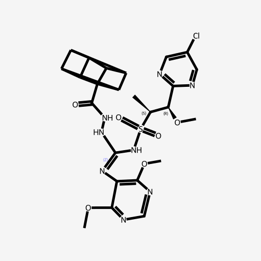 COc1ncnc(OC)c1/N=C(/NNC(=O)C12C3C4C5C3C1C5C42)NS(=O)(=O)[C@@H](C)[C@H](OC)c1ncc(Cl)cn1